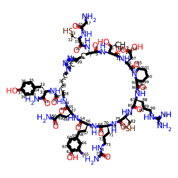 C[C@@H](O)[C@@H]1NC(=O)[C@@H](NC(=O)[C@H](CS)NC(=O)CN)Cc2cn(nn2)CCC[C@@H](C(=O)N[C@@H](Cc2ccc(O)cc2)C(N)=O)NC(=O)[C@H](CCC(N)=O)NC(=O)[C@H](CCc2ccc(O)c(I)c2)NC(=O)[C@H](CCCNC(N)=O)NC(=O)[C@H](CS)NC(=O)[C@H](CCCNC(=N)N)NC(=O)[C@@H]2CCCCN2C(=O)[C@H](CC(=O)O)NC1=O